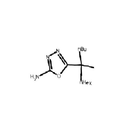 CCCCCCC(C)(CCCC)c1nnc(N)o1